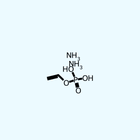 C=COP(=O)(O)O.N.N